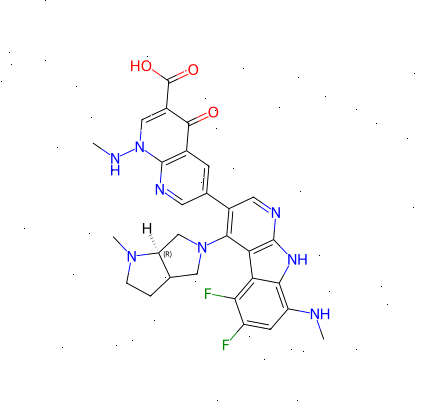 CNc1cc(F)c(F)c2c1[nH]c1ncc(-c3cnc4c(c3)c(=O)c(C(=O)O)cn4NC)c(N3CC4CCN(C)[C@H]4C3)c12